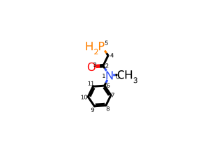 CN(C(=O)CP)c1ccccc1